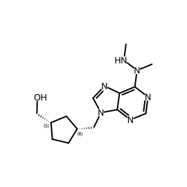 CNN(C)c1ncnc2c1ncn2C[C@@H]1CC[C@H](CO)C1